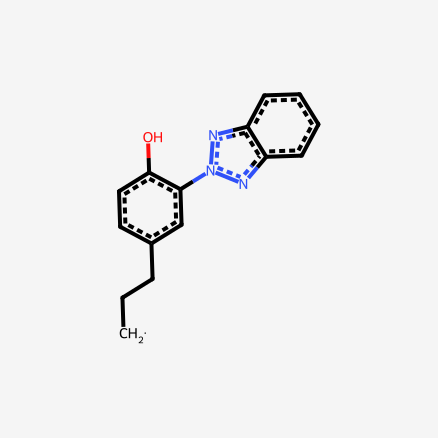 [CH2]CCc1ccc(O)c(-n2nc3ccccc3n2)c1